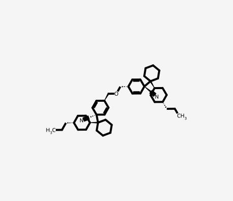 CCC[C@H]1CC[C@H](C2([C@]3(C#N)C=C[C@H](COC[C@H]4C=C[C@@](C#N)(C5([C@H]6CC[C@H](CCC)CC6)CCCCC5)C=C4)C=C3)CCCCC2)CC1